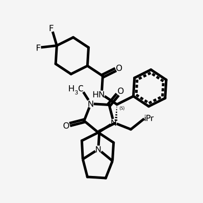 CC(C)CN1C(=O)N(C)C(=O)C12CC1CCC(C2)N1CC[C@H](NC(=O)C1CCC(F)(F)CC1)c1ccccc1